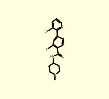 CN1CCC(NC(=O)c2ccc(-c3ncccc3Cl)cc2F)CC1